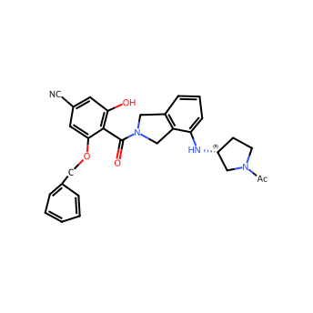 CC(=O)N1CC[C@@H](Nc2cccc3c2CN(C(=O)c2c(O)cc(C#N)cc2OCc2ccccc2)C3)C1